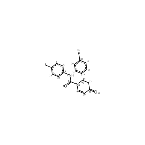 Cc1ccc(NC(=O)N2C=CC(=O)C[C@H]2c2ccc(F)cc2)cc1